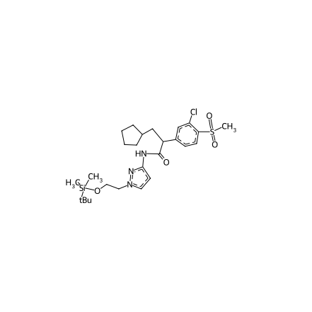 CC(C)(C)[Si](C)(C)OCCn1ccc(NC(=O)C(CC2CCCC2)c2ccc(S(C)(=O)=O)c(Cl)c2)n1